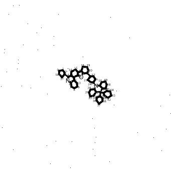 c1ccc(-c2nc3ccccc3c3c2ccc2c4cccc(-c5ccc(N6c7ccccc7C(c7ccccc7)(c7ccccc7)c7ccccc76)cc5)c4oc23)cc1